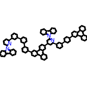 c1cc(-c2cccc(-c3ccc4c5ccccc5c5cc(-c6cc(-c7cccc(-c8ccc(-c9ccc%10c%11ccccc%11c%11ccccc%11c%10c9)cc8)c7)nc(-n7c8ccccc8c8ccccc87)c6)ccc5c4c3)c2)cc(-c2cccc(-c3cccc(-n4c5ccccc5c5ccccc54)n3)c2)c1